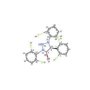 Fc1cccc(F)c1[C@H]1[C@@H](Br)N(c2c(F)cccc2F)NN1c1c(F)cccc1F